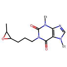 CCn1cnc2c1c(=O)n(CCCC1OC1C)c(=O)n2CC